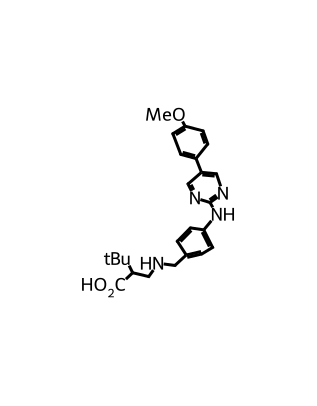 COc1ccc(-c2cnc(Nc3ccc(CNCC(C(=O)O)C(C)(C)C)cc3)nc2)cc1